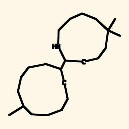 CC1CCCCCC(C2CCCC(C)(C)CCCCN2)CCCC1